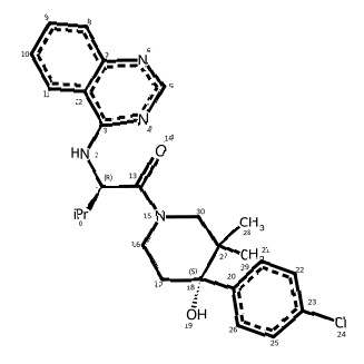 CC(C)[C@@H](Nc1ncnc2ccccc12)C(=O)N1CC[C@](O)(c2ccc(Cl)cc2)C(C)(C)C1